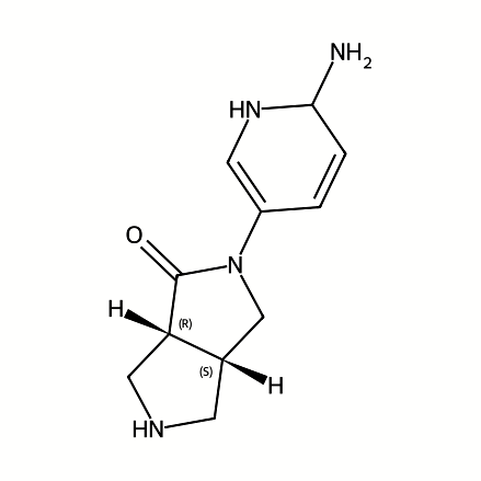 NC1C=CC(N2C[C@@H]3CNC[C@@H]3C2=O)=CN1